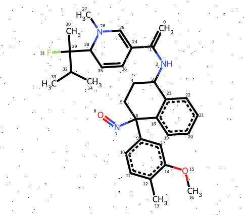 C=C(NC1CCC(N=O)(c2ccc(C)c(OC)c2)c2ccccc21)C1=CN(C)C(C(C)(F)C(C)C)C=C1